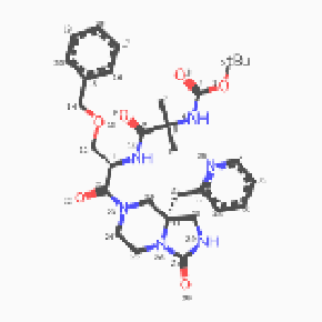 CC(C)(C)OC(=O)NC(C)(C)C(=O)N[C@H](COCc1ccccc1)C(=O)N1CCN2C(=O)NC[C@]2(Cc2ccccn2)C1